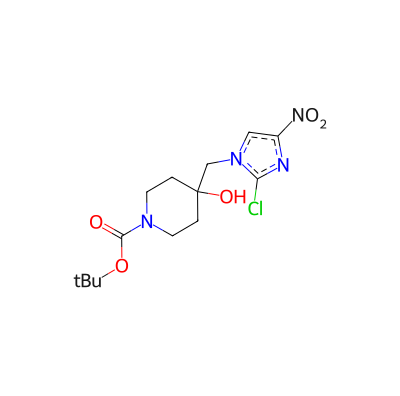 CC(C)(C)OC(=O)N1CCC(O)(Cn2cc([N+](=O)[O-])nc2Cl)CC1